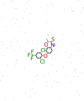 CC1Oc2cc(Oc3c(Cl)cc(C(F)(F)F)cc3Cl)ccc2N(C)C1=S